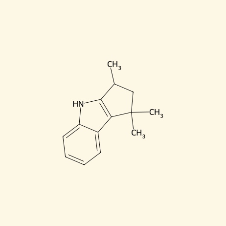 CC1CC(C)(C)c2c1[nH]c1ccccc21